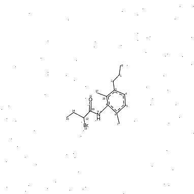 CCCc1ccc(C)c(NC(=O)C(Br)CC)c1C